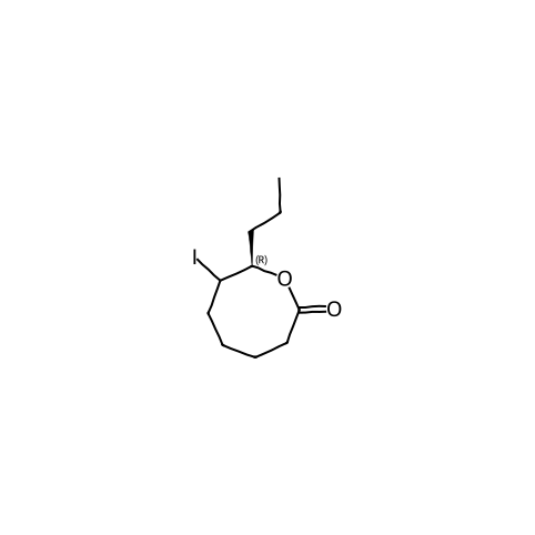 CCC[C@H]1OC(=O)CCCCC1I